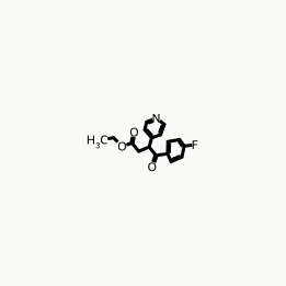 CCOC(=O)CC(C(=O)c1ccc(F)cc1)c1ccncc1